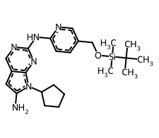 CC(C)(C)[Si](C)(C)OCc1ccc(Nc2ncc3cc(N)n(C4CCCC4)c3n2)nc1